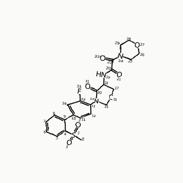 CS(=O)(=O)c1ccccc1-c1ccc(N2CCCC(NC(=O)C(=O)N3CCOCC3)C2=O)c(F)c1